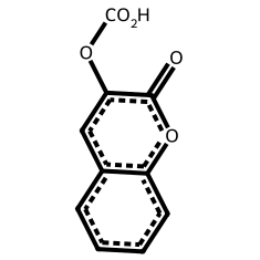 O=C(O)Oc1cc2ccccc2oc1=O